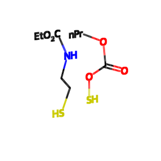 CCCOC(=O)OS.CCOC(=O)NCCS